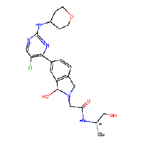 CC(C)(C)[C@@H](CO)NC(=O)CN1Cc2ccc(-c3nc(NC4CCOCC4)ncc3Cl)cc2C1O